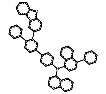 c1ccc(-c2ccc(-c3ccc(N(c4cccc5ccccc45)c4ccc(-c5ccccc5)c5ccccc45)cc3)cc2-c2ccc3oc4ccccc4c3c2)cc1